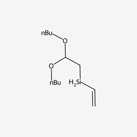 C=C[SiH2]CC(OCCCC)OCCCC